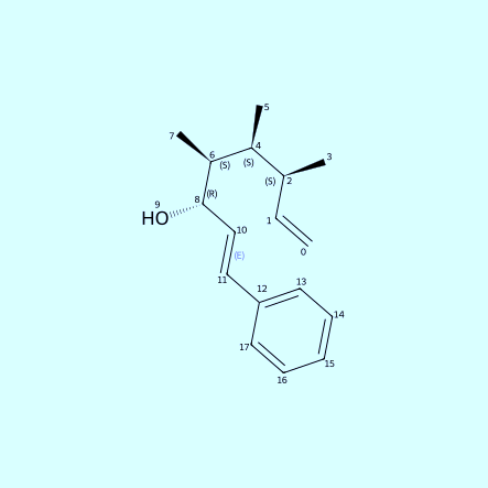 C=C[C@H](C)[C@H](C)[C@H](C)[C@@H](O)/C=C/c1ccccc1